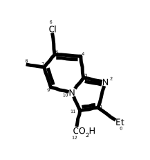 CCc1nc2cc(Cl)c(C)cn2c1C(=O)O